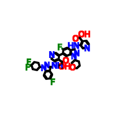 O=C(O)c1ccncc1Nc1nn(C2CCCOC2)c2cc(-c3cncc(Nc4nn(C5CCC(F)(F)CC5)c5ccc(F)cc45)c3C(=O)O)c(F)cc12